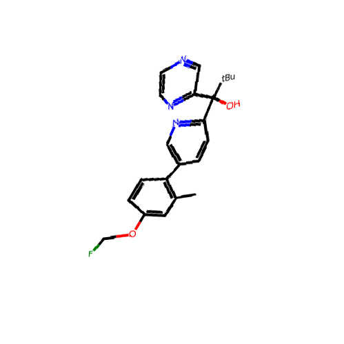 Cc1cc(OCF)ccc1-c1ccc(C(O)(c2cnccn2)C(C)(C)C)nc1